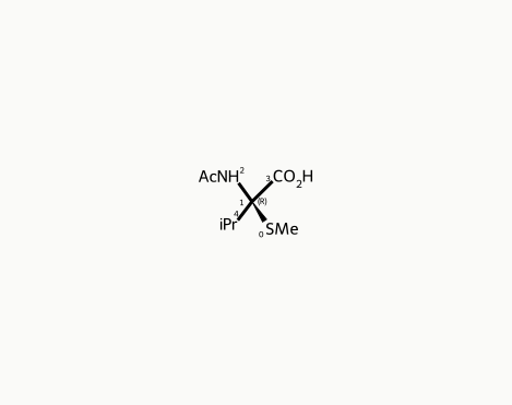 CS[C@@](NC(C)=O)(C(=O)O)C(C)C